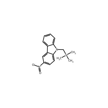 C[Si](C)(C)Cn1c2ccccc2c2cc([N+](=O)[O-])ccc21